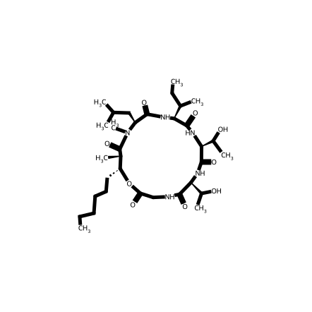 CCCCCC[C@H]1OC(=O)CNC(=O)[C@H](C(C)O)NC(=O)[C@H](C(C)O)NC(=O)[C@H](C(C)CC)NC(=O)[C@H](CC(C)C)N(C)C(=O)[C@@H]1C